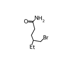 CCC(CBr)CCC(N)=O